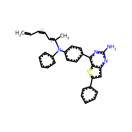 C=C/C=C\C=C(/C)N(c1ccccc1)c1ccc(-c2nc(N)nc3cc(-c4ccccc4)sc23)cc1